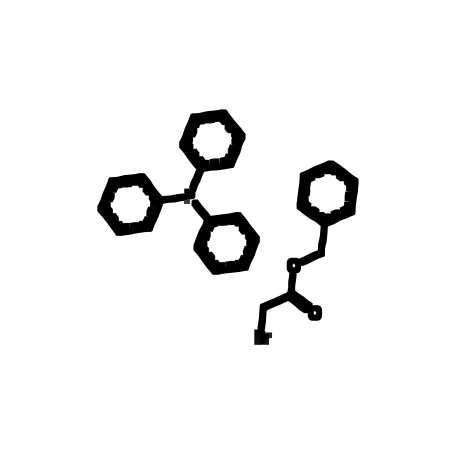 O=C(CBr)OCc1ccccc1.c1ccc(P(c2ccccc2)c2ccccc2)cc1